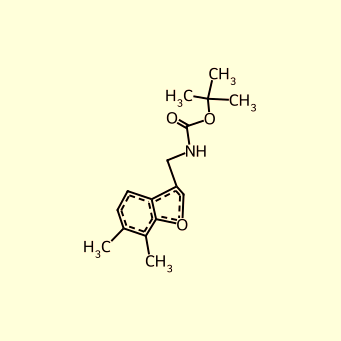 Cc1ccc2c(CNC(=O)OC(C)(C)C)coc2c1C